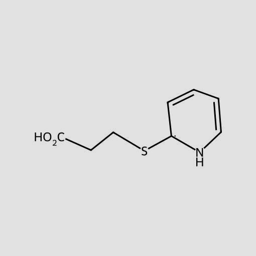 O=C(O)CCS[C]1C=CC=CN1